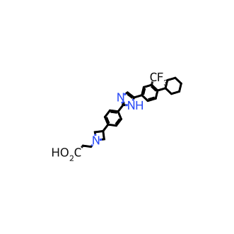 O=C(O)CCN1CC(c2ccc(-c3ncc(-c4ccc(C5CCCCC5)c(C(F)(F)F)c4)[nH]3)cc2)C1